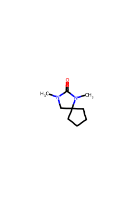 CN1CC2(CCCC2)N(C)C1=O